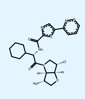 O=C(N[C@H](C(=O)N1C[C@H](Cl)[C@H]2OC[C@H](O)[C@H]21)C1CCCCC1)c1ncc(-c2cccnn2)s1